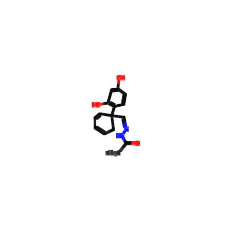 CCCCCCCC(=O)N/N=C\C1(c2ccc(O)cc2O)C=CC=CC1